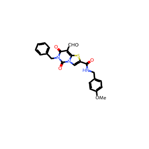 COc1ccc(CNC(=O)c2cn3c(=O)n(Cc4ccccc4)c(=O)c(C=O)c3s2)cc1